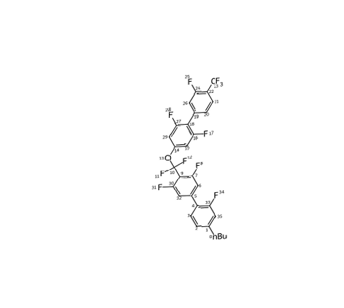 CCCCc1ccc(-c2cc(F)c(C(F)(F)Oc3cc(F)c(-c4ccc(C(F)(F)F)c(F)c4)c(F)c3)c(F)c2)c(F)c1